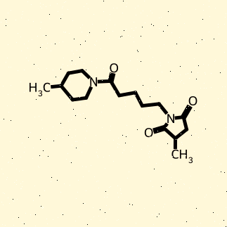 CC1CCN(C(=O)CCCCN2C(=O)CC(C)C2=O)CC1